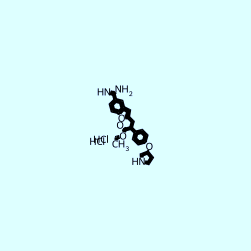 CCOC(=O)C(Cc1cc2cc(C(=N)N)ccc2o1)c1ccc(O[C@H]2CCNC2)cc1.Cl.Cl